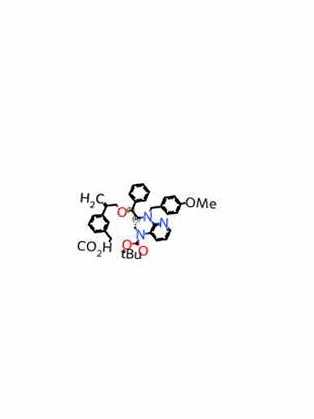 C=C(CO[C@H](c1ccccc1)[C@H]1CN(C(=O)OC(C)(C)C)c2cccnc2N1Cc1ccc(OC)cc1)c1cccc(CC(=O)O)c1